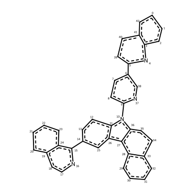 c1ccc2nc(-c3ccc(-n4c5ccc(-c6nccc7ccccc67)cc5c5c6ccccc6ccc54)nc3)ccc2c1